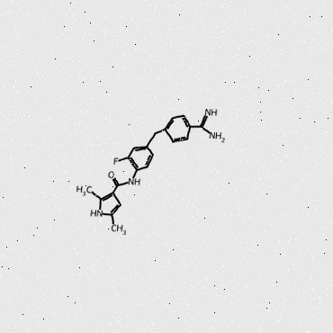 Cc1cc(C(=O)Nc2ccc(Cc3ccc(C(=N)N)cc3)cc2F)c(C)[nH]1